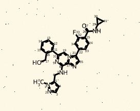 Cn1nccc1CNc1nc(-c2ccccc2CO)cn2c(-c3ccc(C(=O)NC4CC4)c(F)c3)cnc12